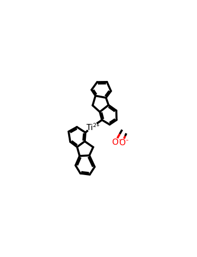 C[O-].C[O-].c1ccc2c(c1)Cc1[c]([Ti+2][c]3cccc4c3Cc3ccccc3-4)cccc1-2